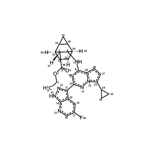 CCOC(=O)[C@H]1[C@H](Nc2nc(-c3n[nH]c4ncc(F)cc34)nn3c(C4CC4)ccc23)[C@@H]2CC[C@H]1C1CC12